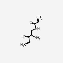 C=CC(=O)NCC(N)C(=O)C=C